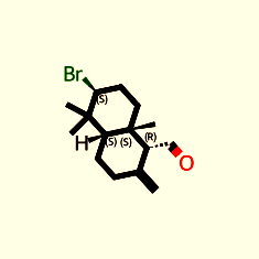 C=C1CC[C@@H]2C(C)(C)[C@@H](Br)CC[C@]2(C)[C@@H]1C=O